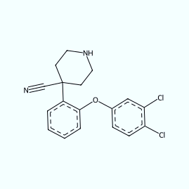 N#CC1(c2ccccc2Oc2ccc(Cl)c(Cl)c2)CCNCC1